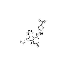 COc1cc2c(cc1OC)C(=NNc1ccc([N+](=O)[O-])cc1)CCC(=O)N2